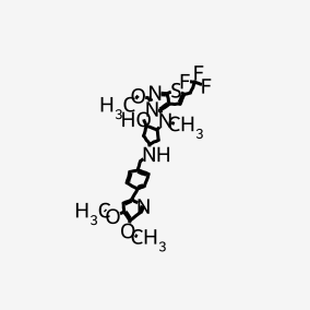 COc1nc(N(C)C2CC(NCc3ccc(-c4cc(OC)c(OC)cn4)cc3)CC2O)c2cc(CC(F)(F)F)sc2n1